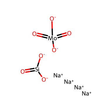 O=[Si]([O-])[O-].[Na+].[Na+].[Na+].[Na+].[O]=[Mo](=[O])([O-])[O-]